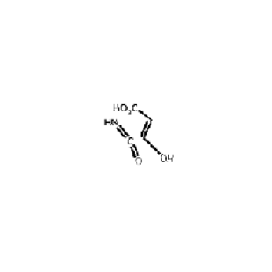 N=C=O.O=C(O)C=CO